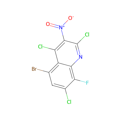 O=[N+]([O-])c1c(Cl)nc2c(F)c(Cl)cc(Br)c2c1Cl